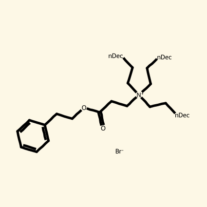 CCCCCCCCCCCC[N+](CCCCCCCCCCCC)(CCCCCCCCCCCC)CCC(=O)OCCc1ccccc1.[Br-]